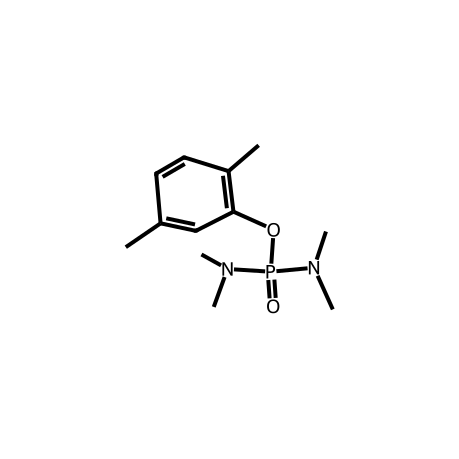 Cc1ccc(C)c(OP(=O)(N(C)C)N(C)C)c1